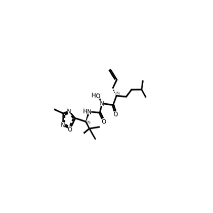 C=CC[C@H](CCC(C)C)C(=O)N(O)C(=O)N[C@H](c1nc(C)no1)C(C)(C)C